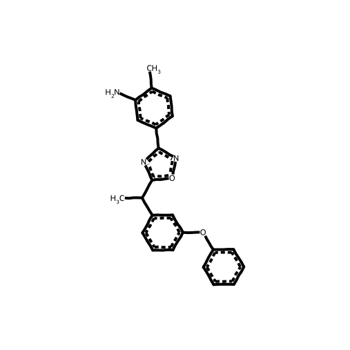 Cc1ccc(-c2noc(C(C)c3cccc(Oc4ccccc4)c3)n2)cc1N